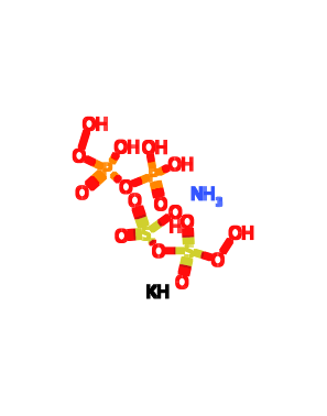 N.O=P(O)(O)OP(=O)(O)OO.O=S(=O)(O)OS(=O)(=O)OO.[KH]